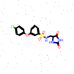 O=C1NC(=O)C(CNS(=O)(=O)c2cccc(Oc3ccc(Cl)cc3)c2)N1